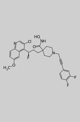 COc1ccc2ncc(Cl)c([C@H](F)CCC3(C(=O)NO)CCN(CC#Cc4ccc(F)c(F)c4)CC3)c2c1